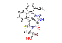 Cc1ccccc1-c1n[nH]c2c(=O)n3c(c(-c4ccccc4)c12)SC[C@H]3C(=O)O